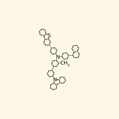 Cc1cc(-c2cccc(-n3c4ccccc4c4ccccc43)c2)ccc1N(c1ccc(-c2ccc3c(c2)sc2ccccc23)cc1)c1ccc(-c2cccc3ccccc23)cc1